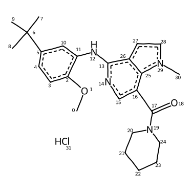 COc1ccc(C(C)(C)C)cc1Nc1ncc(C(=O)N2CCCCC2)c2c1ccn2C.Cl